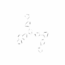 c1ccc(-c2ccc(-c3cccc4oc5cc(-c6nc(-c7ccc(-c8ccccn8)cc7)nc(-c7ccc8c(ccc9ccccc98)c7)n6)ccc5c34)cc2)cc1